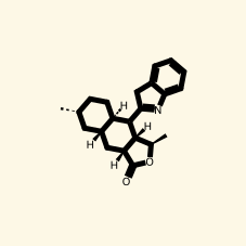 C[C@@H]1CC[C@H]2C(C3=Nc4ccccc4C3)[C@@H]3[C@@H](C)OC(=O)[C@@H]3C[C@@H]2C1